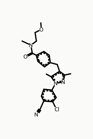 COCCN(C)C(=O)c1ccc(Cc2c(C)nn(-c3ccc(C#N)c(Cl)c3)c2C)cc1